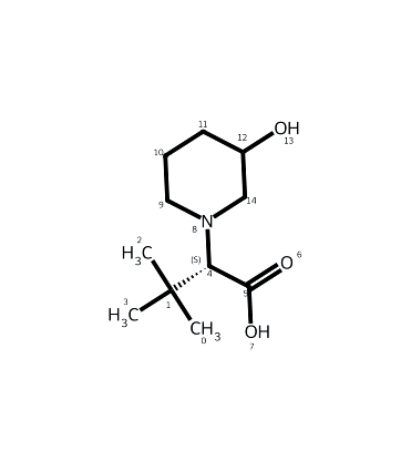 CC(C)(C)[C@@H](C(=O)O)N1CCCC(O)C1